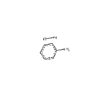 Cc1ccccc1.[Cl][Pd]